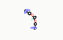 Fc1c(COc2ccc(C3=NCCN3)cc2)cccc1COc1ccc(C2=NCCN2)cc1